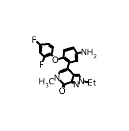 CCn1cc2c(-c3cc(N)ccc3Oc3ccc(F)cc3F)cn(C)c(=O)c2n1